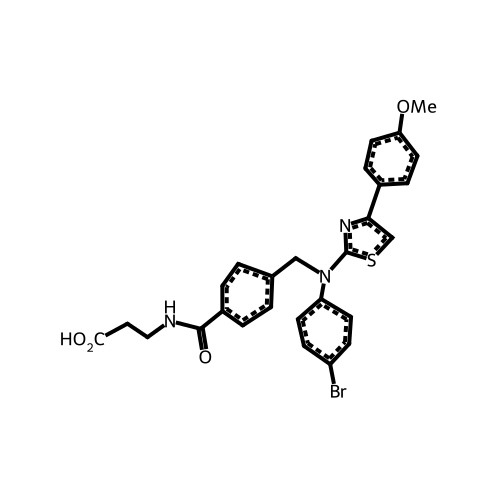 COc1ccc(-c2csc(N(Cc3ccc(C(=O)NCCC(=O)O)cc3)c3ccc(Br)cc3)n2)cc1